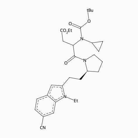 CCOC(=O)CC(C(=O)N1CCC[C@H]1CCc1cc2ccc(C#N)cc2n1CC)N(C(=O)OC(C)(C)C)C1CC1